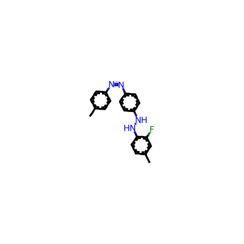 Cc1ccc(/N=N\c2ccc(NNc3ccc(C)cc3F)cc2)cc1